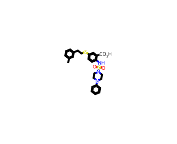 Cc1cccc(CCSc2ccc(NS(=O)(=O)N3CCN(c4ccccc4)CC3)c(C(=O)O)c2)c1